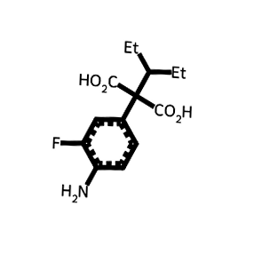 CCC(CC)C(C(=O)O)(C(=O)O)c1ccc(N)c(F)c1